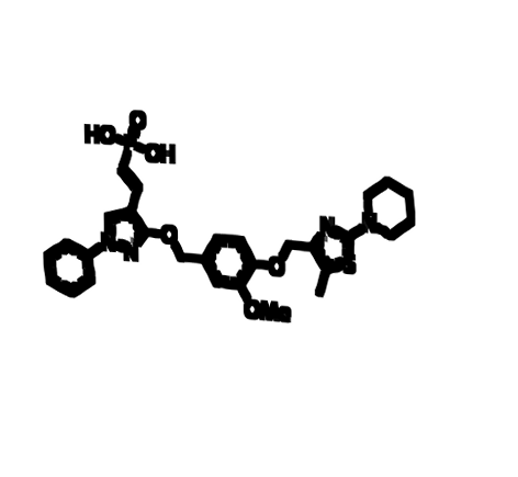 COc1cc(COc2nn(-c3ccccc3)cc2/C=C/P(=O)(O)O)ccc1OCc1nc(N2CCCCC2)sc1C